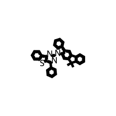 CC1(C)c2ccccc2-c2cc3c4ccccc4n(-c4nc(-c5ccccc5)c5sc6ccccc6c5n4)c3cc21